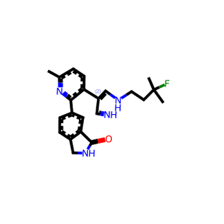 Cc1ccc(/C(C=N)=C/NCCC(C)(C)F)c(-c2ccc3c(c2)C(=O)NC3)n1